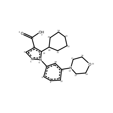 O=C(O)c1cnn(-c2cccc(N3CCOCC3)c2)c1C1CCCCC1